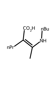 CCCCNC(C)=C(CCC)C(=O)O